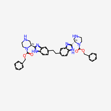 O=C(OCc1ccccc1)N1CCNC[C@H]1c1nc2cc(CCc3ccc4[nH]c([C@@H]5CNCCN5C(=O)OCc5ccccc5)nc4c3)ccc2[nH]1